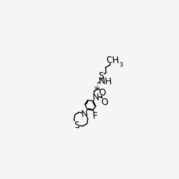 CCCCSNC[C@H]1CN(c2ccc(N3CCCSCCC3)c(F)c2)C(=O)O1